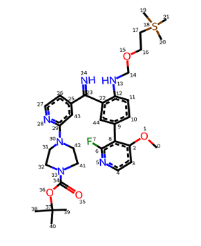 COc1ccnc(F)c1-c1ccc(NCOCCS(C)(C)C)c(C(=N)c2ccnc(N3CCN(C(=O)OC(C)(C)C)CC3)c2)c1